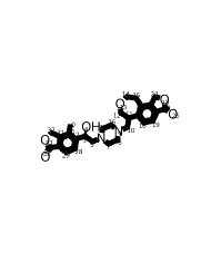 Cc1c([C@@H](O)CN2CCN(CC3COCCc4c3ccc3c4COC3=O)CC2)ccc2c1COC2=O